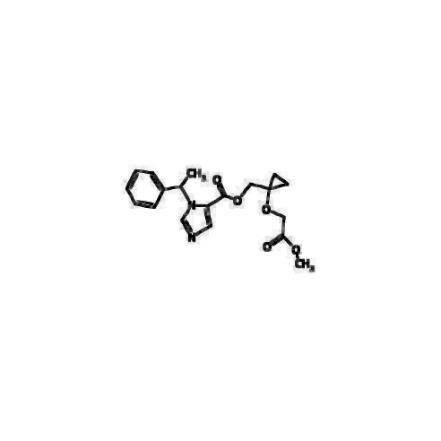 COC(=O)COC1(COC(=O)c2cncn2C(C)c2ccccc2)CC1